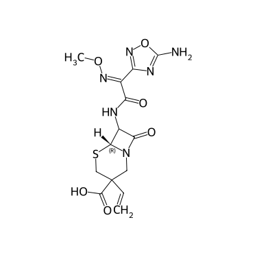 C=CC1(C(=O)O)CS[C@@H]2C(NC(=O)C(=NOC)c3noc(N)n3)C(=O)N2C1